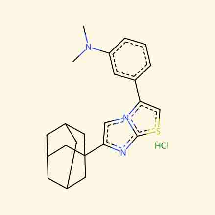 CN(C)c1cccc(-c2csc3nc(C45CC6CC(CC(C6)C4)C5)cn23)c1.Cl